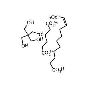 CCCCCCCC/C=C\CCCCCCCC(=O)O.O=C(O)CCCCC(=O)O.OCC(CO)(CO)CO